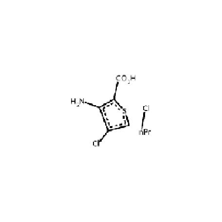 CCCCl.Nc1c(Cl)csc1C(=O)O